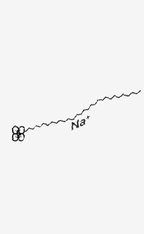 CCCCCCCCCCCCCCCCCCCCCCCCCCCCCCOS(=O)(=O)[O-].[Na+]